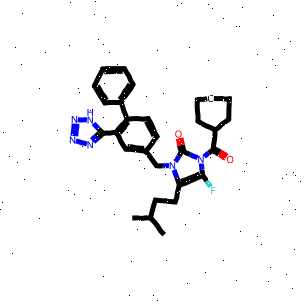 CC(C)CCc1c(F)n(C(=O)C2CCCCC2)c(=O)n1Cc1ccc(-c2ccccc2)c(-c2nnn[nH]2)c1